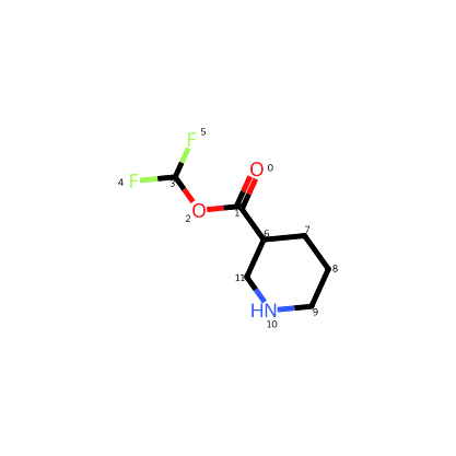 O=C(OC(F)F)C1CCCNC1